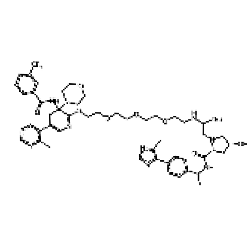 Cc1ncccc1C1=CN=C(OCCOCCOCCOCCNC(CN2C[C@H](O)C[C@H]2C(=O)NC(C)c2ccc(-c3scnc3C)cc2)C(C)(C)C)C(NC(=O)c2cccc(C(F)(F)F)c2)(N2CCOCC2)C1